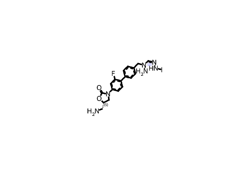 NC[C@H]1CN(c2ccc(-c3ccc(CN(N)/C=N\NI)cc3)c(F)c2)C(=O)O1